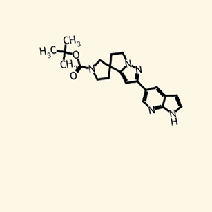 CC(C)(C)OC(=O)N1CCC2(CCn3nc(-c4cnc5[nH]ccc5c4)cc32)C1